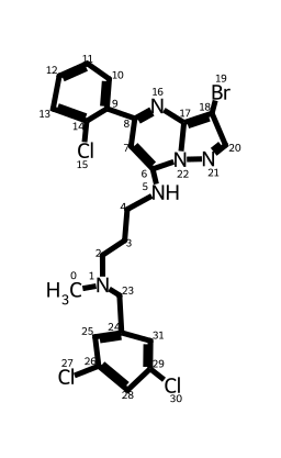 CN(CCCNc1cc(-c2ccccc2Cl)nc2c(Br)cnn12)Cc1cc(Cl)cc(Cl)c1